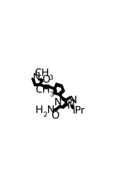 CC(C)n1ncc2c(-c3cccc(C#C[C@]4(C)CCN(C)C4=O)c3)nc(C(N)=O)cc21